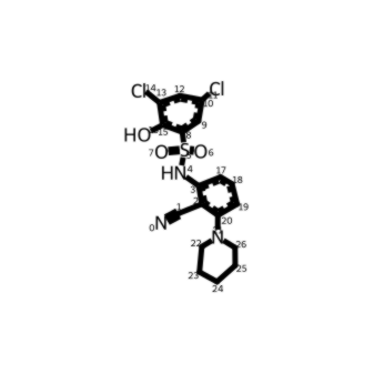 N#Cc1c(NS(=O)(=O)c2cc(Cl)cc(Cl)c2O)cccc1N1CCCCC1